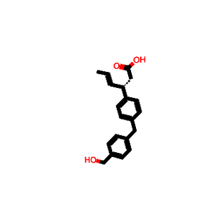 CC=C[C@H](CC(=O)O)c1ccc(Cc2ccc(CO)cc2)cc1